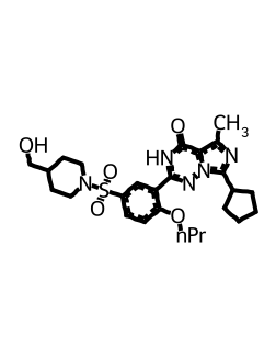 CCCOc1ccc(S(=O)(=O)N2CCC(CO)CC2)cc1-c1nn2c(C3CCCC3)nc(C)c2c(=O)[nH]1